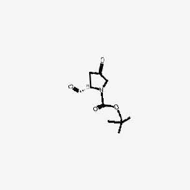 CC(C)(C)OC(=O)N1CC(=O)C[C@H]1C=O